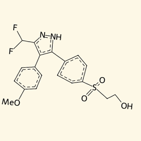 COc1ccc(-c2c(C(F)F)n[nH]c2-c2ccc(S(=O)(=O)CCO)cc2)cc1